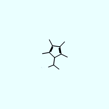 COC(C)C1C(C)=C(C)C(C)=C1C